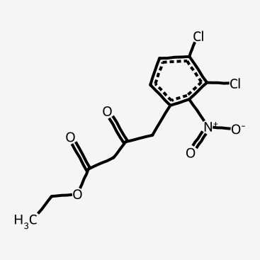 CCOC(=O)CC(=O)Cc1ccc(Cl)c(Cl)c1[N+](=O)[O-]